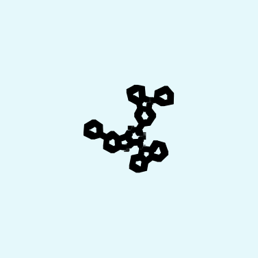 c1ccc(-c2ccc3sc4c(-n5c6ccccc6c6ccccc65)nc(-c5ccc6c(c5)c5ccccc5n6-c5ccccc5)nc4c3c2)cc1